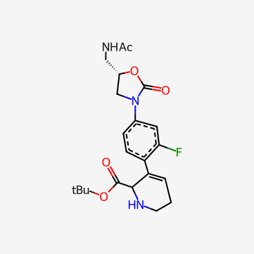 CC(=O)NC[C@H]1CN(c2ccc(C3=CCCNC3C(=O)OC(C)(C)C)c(F)c2)C(=O)O1